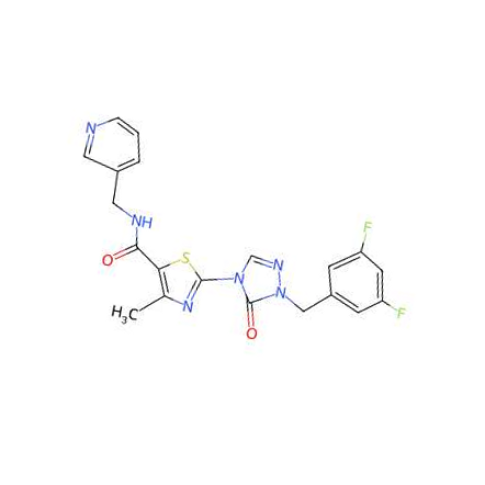 Cc1nc(-n2cnn(Cc3cc(F)cc(F)c3)c2=O)sc1C(=O)NCc1cccnc1